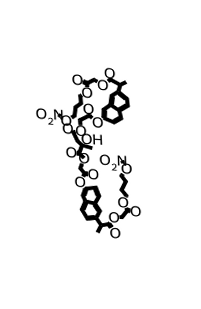 CC(C(=O)OCC(=O)OCCCCO[N+](=O)[O-])c1ccc2cc(OC(=O)COC(=O)C(C)(O)CC(=O)OCC(=O)Oc3ccc4ccc(C(C)C(=O)OCC(=O)OCCCCO[N+](=O)[O-])cc4c3)ccc2c1